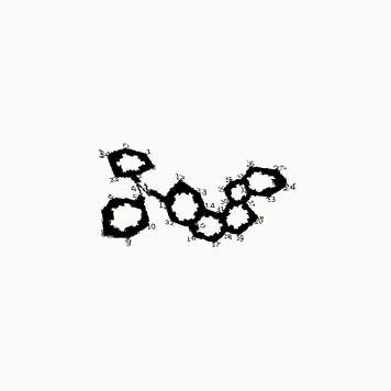 c1ccc(N(c2ccccc2)c2ccc3c(ccc4ccc5c6ccccc6ccc5c43)c2)cc1